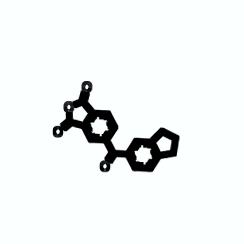 O=C(c1ccc2c(c1)CCC2)c1ccc2c(c1)C(=O)OC2=O